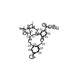 C=C[C@@H](O)[C@]1(C)CC[C@H]1CN1CCCCc2cc(Cl)ccc2COc2ccc(C(=O)OCC(C)C)cc21